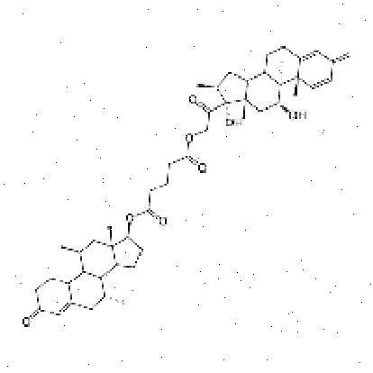 C=C1C=C[C@@]2(C)C(=C1)CCC1C3C[C@H](C)[C@](O)(C(=O)COC(=O)CCCC(=O)O[C@H]4CCC5C6C(C7CCC(=O)C=C7C[C@H]6C)[C@@H](C)C[C@@]54C)[C@@]3(C)C[C@H](O)[C@@]12F